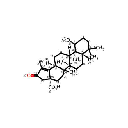 CC(=O)OC1CCC(C)(C)[C@@H]2CC[C@]3(C)[C@H](CC[C@@H]4C5=C(C(C)C)C(=O)C[C@]5(C(=O)O)CC[C@]43C)[C@@]12C